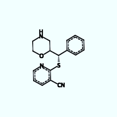 N#Cc1cccnc1S[C@@H](c1ccccc1)C1CNCCO1